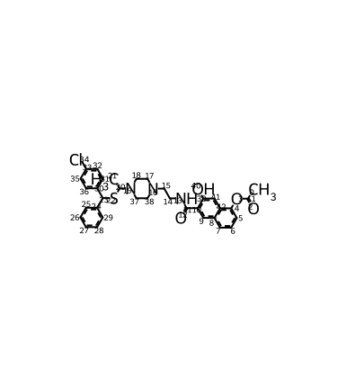 CC(=O)Oc1cccc2cc(C(=O)NCCN3CCN(C(C)SC(c4ccccc4)c4ccc(Cl)cc4)CC3)c(O)cc12